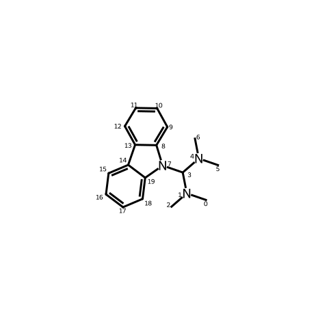 CN(C)C(N(C)C)n1c2ccccc2c2ccccc21